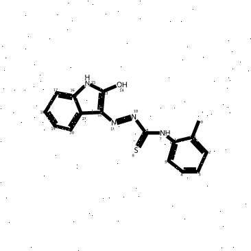 Cc1ccccc1NC(=S)N=Nc1c(O)[nH]c2ccccc12